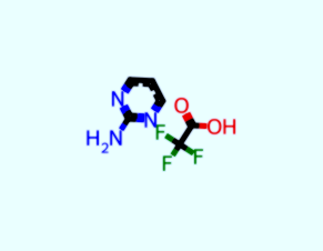 Nc1ncccn1.O=C(O)C(F)(F)F